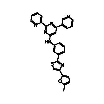 Cc1ccc(-c2csc(-c3cccc(Nc4cc(-c5cccnc5)nc(-c5ccccn5)n4)c3)n2)o1